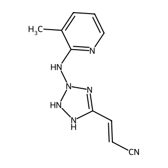 Cc1cccnc1NN1N=C(C=CC#N)NN1